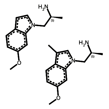 COc1ccc2c(C)cn(C[C@H](C)N)c2c1.COc1ccc2ccn(C[C@H](C)N)c2c1